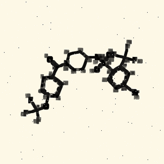 O=C(c1ccc(OC(F)(F)F)cc1)N1CCC(NS(=O)(=O)c2ccc(Br)cc2C(F)(F)F)CC1